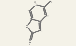 Cc1cc2cc(=O)oc-2co1